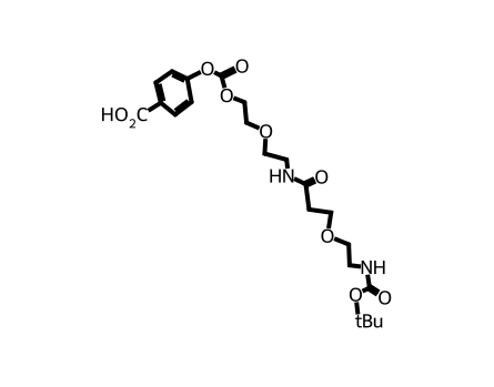 CC(C)(C)OC(=O)NCCOCCC(=O)NCCOCCOC(=O)Oc1ccc(C(=O)O)cc1